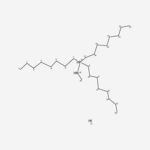 CCCCCCCC[PH](CCCCCCCC)(CCCCCCCC)NC.I